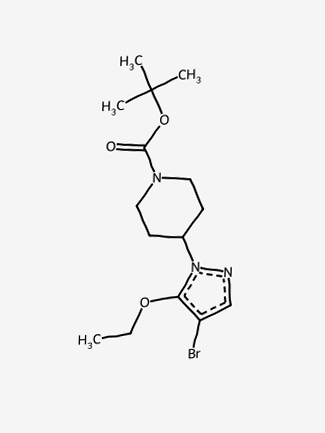 CCOc1c(Br)cnn1C1CCN(C(=O)OC(C)(C)C)CC1